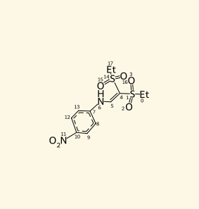 CCS(=O)(=O)C(=CNc1ccc([N+](=O)[O-])cc1)S(=O)(=O)CC